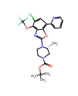 C[C@@H]1CN(C(=O)OC(C)(C)C)CCN1c1nc2c(OC(F)(F)F)c(Cl)cc(-c3ccccn3)c2o1